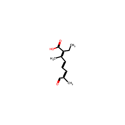 CCC(C(=O)O)=C(C)C=CC=C(C)C=O